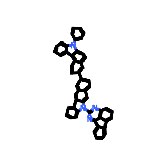 c1ccc(-n2c3ccccc3c3c4ccc(-c5ccc6cc7c(cc6c5)c5ccccc5n7-c5nc6c7c(cccc7n5)-c5ccccc5-6)cc4ccc32)cc1